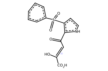 O=C(O)/C(O)=C/C(=O)c1[nH]ccc1S(=O)(=O)c1ccccc1